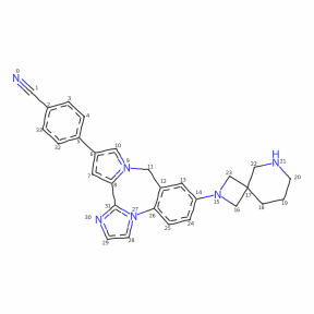 N#Cc1ccc(-c2cc3n(c2)Cc2cc(N4CC5(CCCNC5)C4)ccc2-n2ccnc2-3)cc1